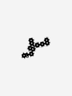 c1cc(-c2cc3ccccc3o2)cc(-c2ccc(N(c3ccc(-c4ccc(-c5cccc6ccccc56)cc4)cc3)c3ccc4ccccc4c3)c3ccccc23)c1